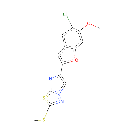 COc1cc2oc(-c3cn4nc(SC)sc4n3)cc2cc1Cl